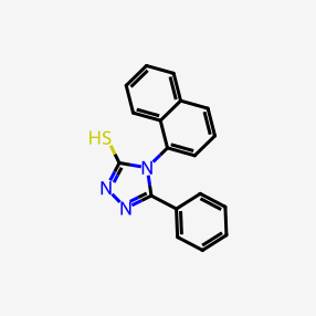 Sc1nnc(-c2ccccc2)n1-c1cccc2ccccc12